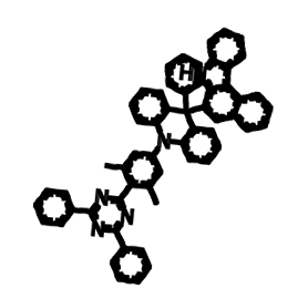 Cc1cc(N2c3ccccc3C(c3ccccc3)(c3cc4ccccc4c4c3[nH]c3ccccc34)c3ccccc32)cc(C)c1-c1nc(-c2ccccc2)nc(-c2ccccc2)n1